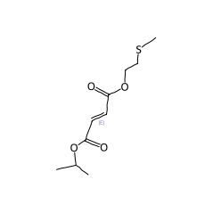 CSCCOC(=O)/C=C/C(=O)OC(C)C